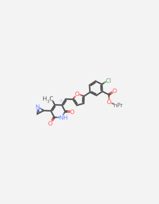 CCCOC(=O)c1cc(-c2ccc(/C=C3\C(=O)NC(=O)C(C4C=N4)=C3C)o2)ccc1Cl